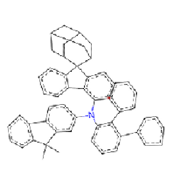 CC1(C)c2ccccc2-c2ccc(N(c3cccc(-c4ccccc4)c3-c3ccccc3)c3cccc4c3-c3ccccc3C43C4CC5CC(C4)CC3C5)cc21